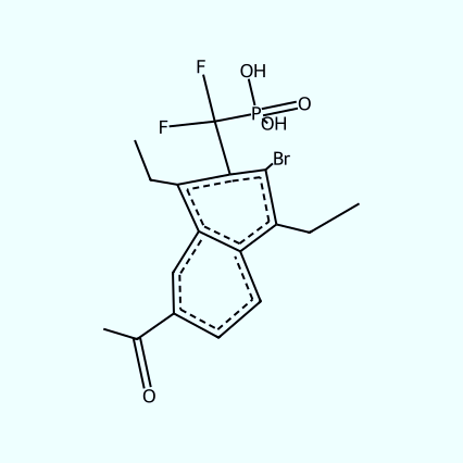 CCc1c(Br)c(C(F)(F)P(=O)(O)O)c(CC)c2cc(C(C)=O)ccc12